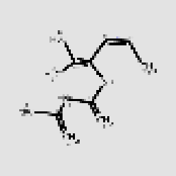 C=C(NC(=C)C(C)(C)C)SC(/C=C\C)=C(C)C